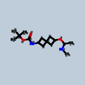 CNC(C)OC1CC2(CC(NC(=O)OC(C)(C)C)C2)C1